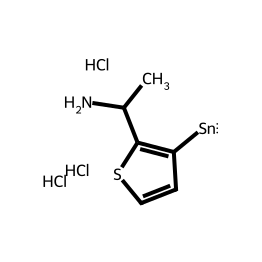 CC(N)c1scc[c]1[Sn].Cl.Cl.Cl